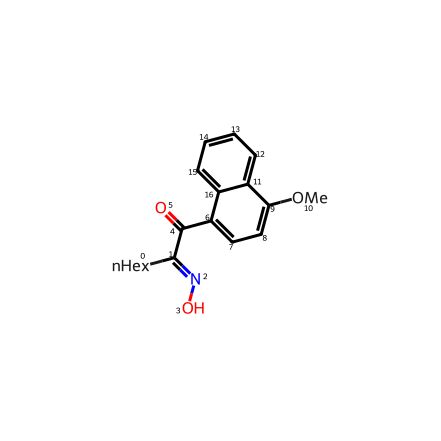 CCCCCCC(=NO)C(=O)c1ccc(OC)c2ccccc12